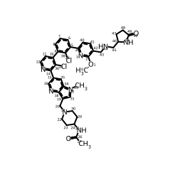 COc1nc(-c2cccc(-c3ccnc(-c4cnc5c(CN6CCC(NC(C)=O)CC6)cn(C)c5c4)c3Cl)c2Cl)ccc1CNCC1CCC(=O)N1